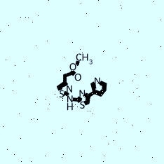 CCOC(=O)Cc1csc(Nc2nc(-c3cccnc3)cs2)n1